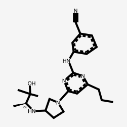 CCCc1cc(N2CCC(N[C@@H](C)C(C)(C)O)C2)nc(Nc2cccc(C#N)c2)n1